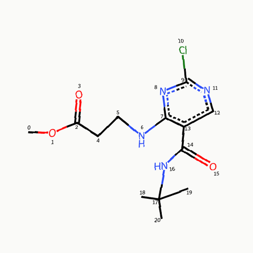 COC(=O)CCNc1nc(Cl)ncc1C(=O)NC(C)(C)C